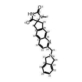 CN1C(=O)NC(=O)C12Cc1cc3ccc(CN4Cc5ccccc5C4)nc3cc1C2